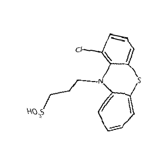 O=S(=O)(O)CCCN1c2ccccc2Sc2cccc(Cl)c21